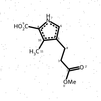 COC(=O)CCc1c[nH]c(C(=O)O)c1C